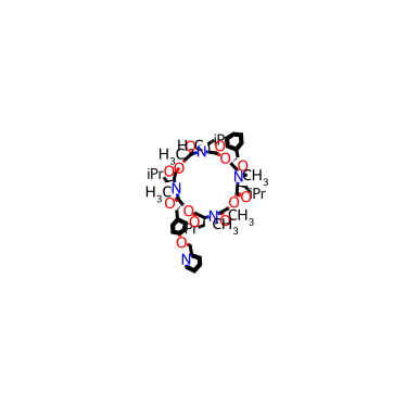 CC(C)C[C@H]1C(=O)O[C@H](Cc2ccc(OCc3ccccn3)cc2)C(=O)N(C)[C@@H](CC(C)C)C(=O)O[C@H](C)C(=O)N(C)[C@@H](CC(C)C)C(=O)O[C@H](Cc2ccccc2)C(=O)N(C)[C@@H](CC(C)C)C(=O)O[C@H](C)C(=O)N1C